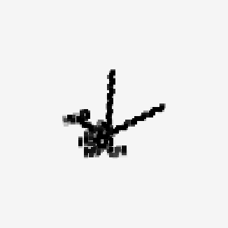 CCCCCCCCCCCCN(C(=O)CCCCCCCCCCC)[C@@H]1O[C@H](CO)[C@@H](O)[C@H](O)[C@H]1NC(=O)CCC(=O)O